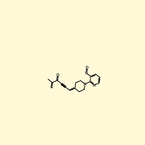 C=C(C)C(=O)C#CC=C1CCN(c2ncccc2N=O)CC1